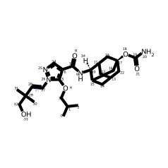 CC(C)COc1c(C(=O)N[C@H]2C3CC4CC2C[C@@](OC(N)=O)(C4)C3)cnn1/C=C/C(C)(C)CO